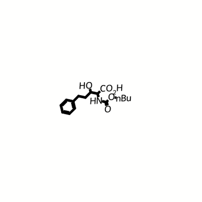 CCCCOC(=O)NC(C(=O)O)C(O)CCc1ccccc1